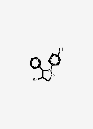 CC(=O)C1CON(c2ccc(Cl)cc2)C1c1ccccc1